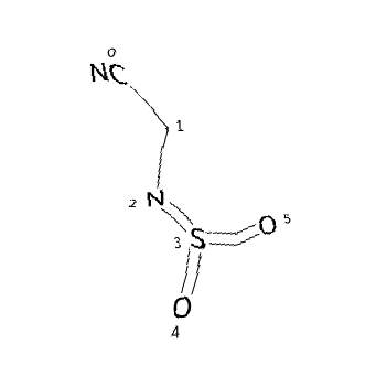 N#CCN=S(=O)=O